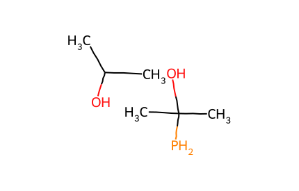 CC(C)(O)P.CC(C)O